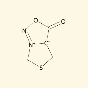 O=c1on[n+]2[c-]1CSC2